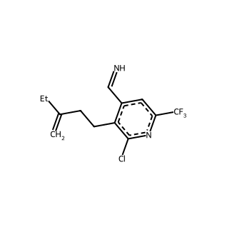 C=C(CC)CCc1c(C=N)cc(C(F)(F)F)nc1Cl